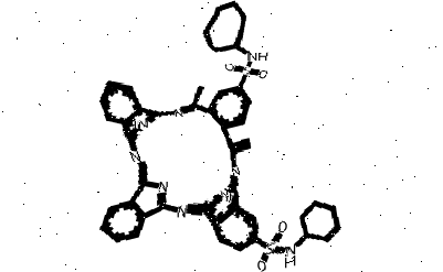 C=C1/N=c2\[nH]/c(c3ccc(S(=O)(=O)NC4CCCCC4)cc23)=N\C2=NC(=N\c3[nH]c(c4ccccc34)/N=C(\C)c3cc(S(=O)(=O)NC4CCCCC4)ccc31)/c1ccccc12